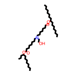 CCCCCCCCC(CCCCCCCC)OOCCCCCCCN(CCO)CCCCCCCC(=O)OC(CCC)CCCCCCCC